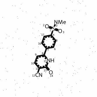 CNS(=O)(=O)c1ccc(-c2ccc(C#N)c(=O)[nH]2)cc1